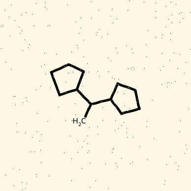 [CH2]C(C1CCCC1)C1CCCC1